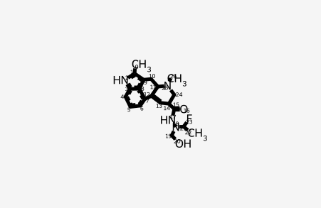 Cc1[nH]c2cccc3c2c1CC1C3=CC(C(=O)NN(CO)C(C)F)CN1C